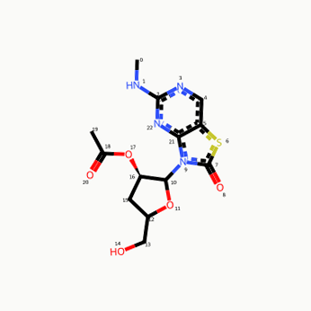 CNc1ncc2sc(=O)n(C3OC(CO)C[C@H]3OC(C)=O)c2n1